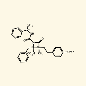 COc1ccc(CC[C@@]2(C)C(=O)N(C(=O)N[C@H](C)c3ccccc3)[C@]2(Cc2ccccc2)C(=O)O)cc1